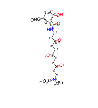 CC(C)(C)N(CCC(=O)CCC(=O)CCC(=O)CCNC(=O)c1cc(C=O)ccc1O)C(=O)O